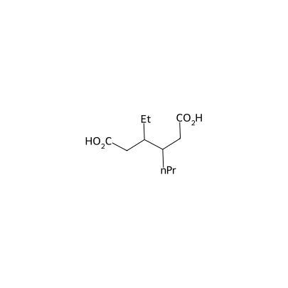 CCCC(CC(=O)O)C(CC)CC(=O)O